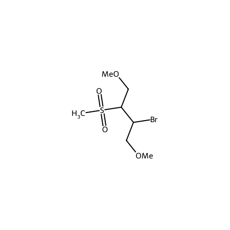 COCC(Br)C(COC)S(C)(=O)=O